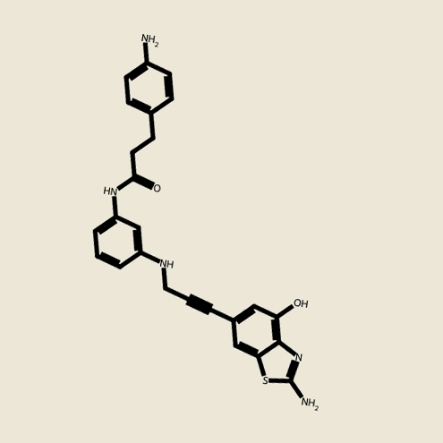 Nc1ccc(CCC(=O)Nc2cccc(NCC#Cc3cc(O)c4nc(N)sc4c3)c2)cc1